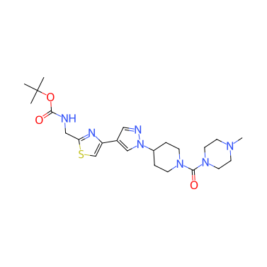 CN1CCN(C(=O)N2CCC(n3cc(-c4csc(CNC(=O)OC(C)(C)C)n4)cn3)CC2)CC1